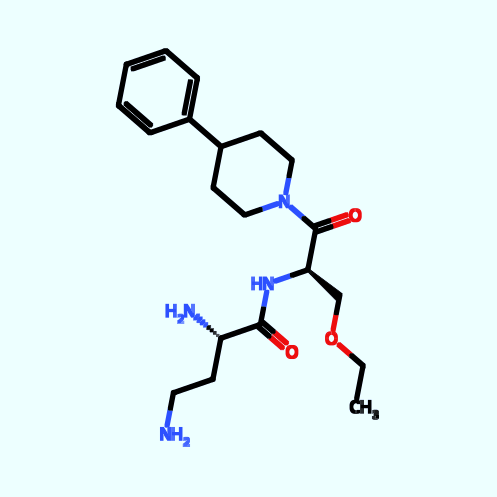 CCOC[C@@H](NC(=O)[C@@H](N)CCN)C(=O)N1CCC(c2ccccc2)CC1